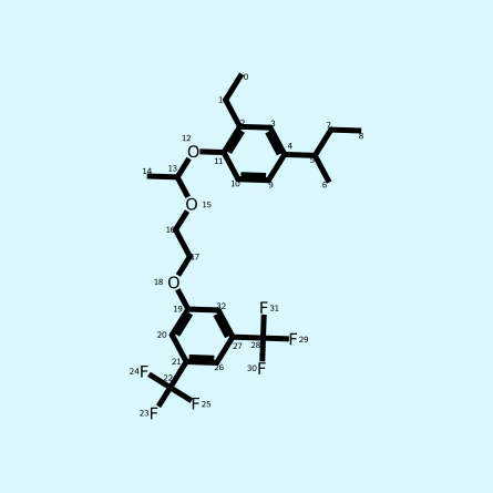 CCc1cc(C(C)CC)ccc1OC(C)OCCOc1cc(C(F)(F)F)cc(C(F)(F)F)c1